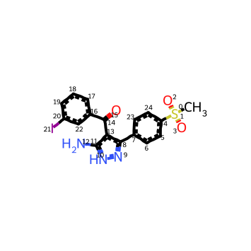 CS(=O)(=O)c1ccc(-c2n[nH]c(N)c2C(=O)c2cccc(I)c2)cc1